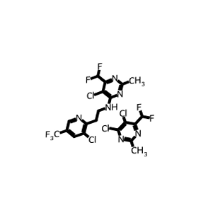 Cc1nc(Cl)c(Cl)c(C(F)F)n1.Cc1nc(NCCc2ncc(C(F)(F)F)cc2Cl)c(Cl)c(C(F)F)n1